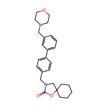 O=C1OC2(CCCCC2)CN1Cc1ccc(-c2cccc(CN3CCOCC3)c2)cc1